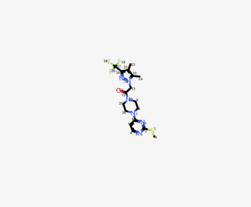 CSc1nccc(N2CCN(C(=O)Cn3nc(C(F)(F)F)c(C)c3C)CC2)n1